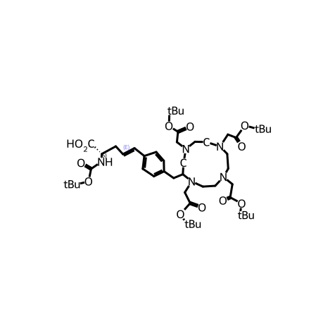 CC(C)(C)OC(=O)CN1CCN(CC(=O)OC(C)(C)C)CCN(CC(=O)OC(C)(C)C)C(Cc2ccc(/C=C/C[C@H](NC(=O)OC(C)(C)C)C(=O)O)cc2)CN(CC(=O)OC(C)(C)C)CC1